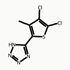 Cc1c(-c2nnn[nH]2)sc(Cl)c1Cl